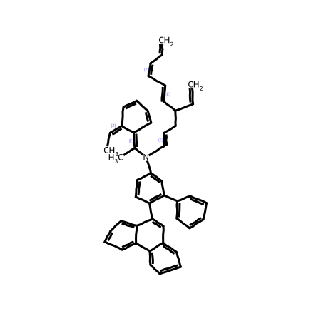 C=C/C=C\C=C\C(C=C)C/C=C/N(/C(C)=c1\cccc\c1=C\C)c1ccc(-c2cc3ccccc3c3ccccc23)c(-c2ccccc2)c1